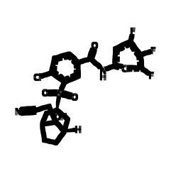 N#CC[C@@]1(O)C2CC[C@H]1C[C@H](S(=O)(=O)c1cc(C(=O)Nc3cc(F)c(F)c(F)c3)ccc1Cl)C2